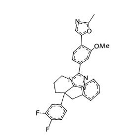 COc1cc(-c2nnc3n2CCCC3(Cc2ccccc2)c2ccc(F)c(F)c2)ccc1-c1cnc(C)o1